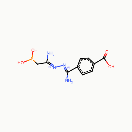 N/C(CP(O)O)=N\N=C(/N)c1ccc(C(=O)O)cc1